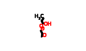 CCCC(O)OOCC1CO1